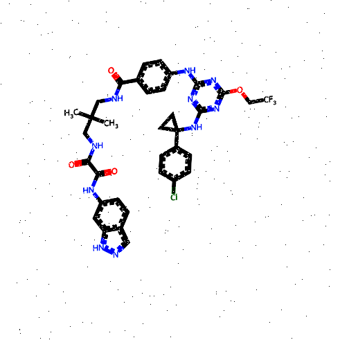 CC(C)(CNC(=O)C(=O)Nc1ccc2cn[nH]c2c1)CNC(=O)c1ccc(Nc2nc(NC3(c4ccc(Cl)cc4)CC3)nc(OCC(F)(F)F)n2)cc1